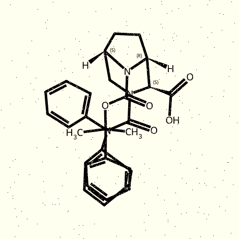 CC(C)(OC(=O)N1[C@H]2CC[C@@H]1[C@@H](C(=O)O)N(C(=O)N(c1ccccc1)c1ccccc1)C2)c1ccccc1